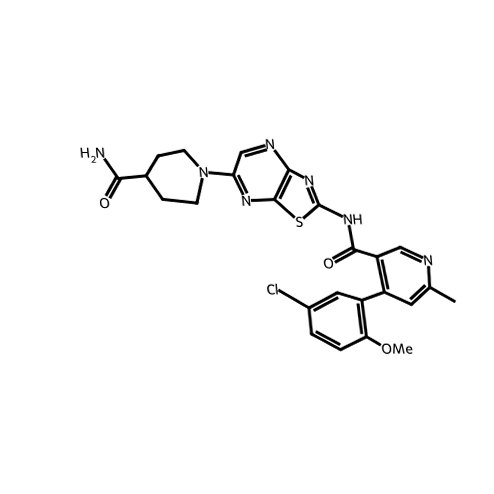 COc1ccc(Cl)cc1-c1cc(C)ncc1C(=O)Nc1nc2ncc(N3CCC(C(N)=O)CC3)nc2s1